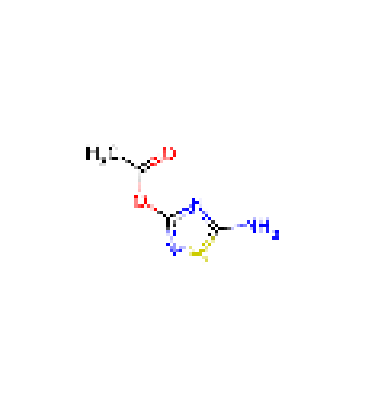 CC(=O)Oc1nsc(N)n1